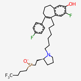 [O-][S+](CCCC(F)(F)F)CC[C@@H]1CCCN1CCCCCCC1=C(c2ccc(F)cc2)CCCc2cc(O)c(F)cc21